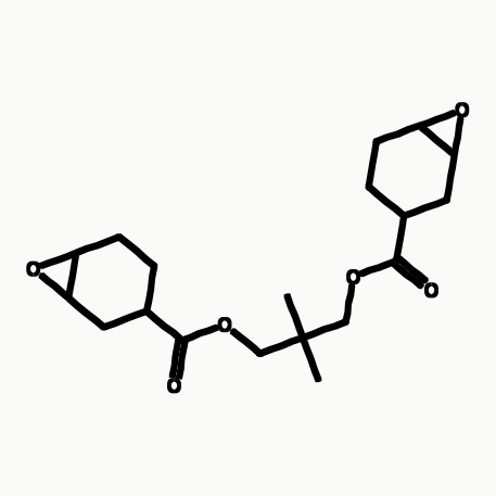 CC(C)(COC(=O)C1CCC2OC2C1)COC(=O)C1CCC2OC2C1